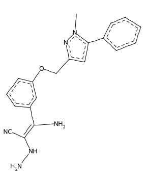 Cn1nc(COc2cccc(/C(N)=C(\C#N)NN)c2)cc1-c1ccccc1